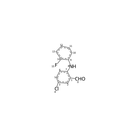 O=Cc1cc(Cl)ccc1Nc1ccccc1F